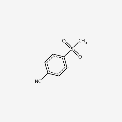 CS(=O)(=O)c1[c]cc(C#N)cc1